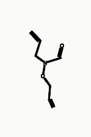 C=CCON([C]=O)CC=C